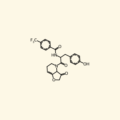 O=C(NC(Cc1ccc(O)cc1)C(=O)N1CCC=C2OCC(=O)C21)c1ccc(C(F)(F)F)cc1